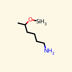 CC(CCCCN)O[SiH3]